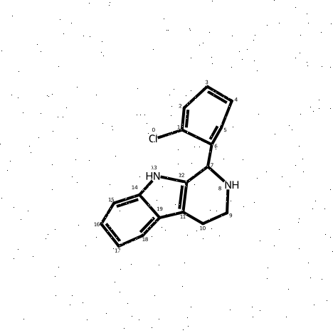 Clc1ccccc1C1NCCc2c1[nH]c1ccccc21